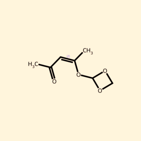 CC(=O)/C=C(/C)OC1OCO1